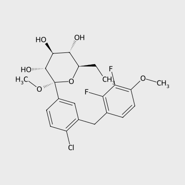 CC[C@H]1O[C@@](OC)(c2ccc(Cl)c(Cc3ccc(OC)c(F)c3F)c2)[C@H](O)[C@@H](O)[C@@H]1O